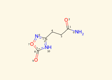 NC(=O)CCc1noc(=O)[nH]1